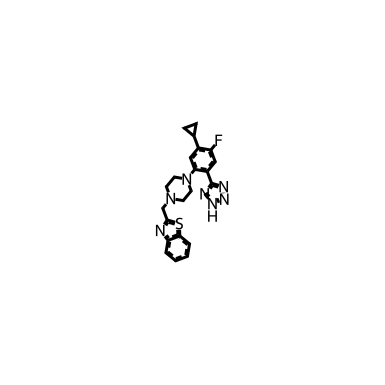 Fc1cc(-c2nn[nH]n2)c(N2CCN(Cc3nc4ccccc4s3)CC2)cc1C1CC1